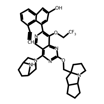 C#Cc1cccc2cc(O)cc(-c3ncc4c(N5CC6CCC(C5)N6)nc(OCC56CCCN5C5CCCC5C6)nc4c3OCC(F)(F)F)c12